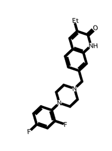 CCc1cc2ccc(CN3CCN(c4ccc(F)cc4F)CC3)cc2[nH]c1=O